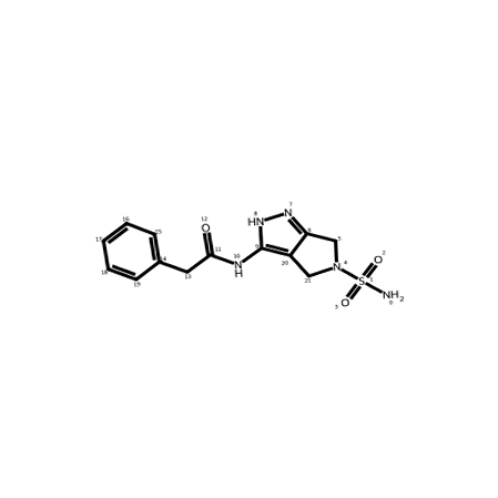 NS(=O)(=O)N1Cc2n[nH]c(NC(=O)Cc3ccccc3)c2C1